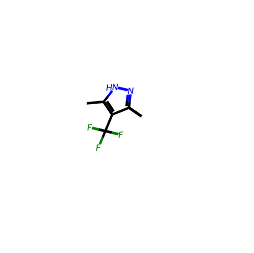 Cc1n[nH]c(C)c1C(F)(F)F